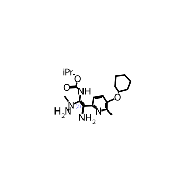 Cc1nc(/C(N)=C(\NC(=O)OC(C)C)N(C)N)ccc1OC1CCCCC1